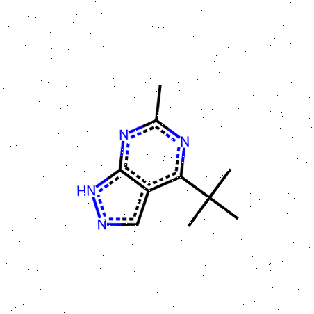 Cc1nc(C(C)(C)C)c2cn[nH]c2n1